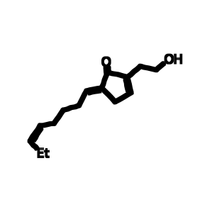 CC/C=C\CCC/C=C1\CC=C(CCO)C1=O